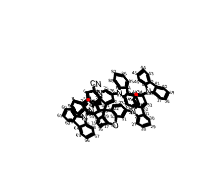 N#Cc1ccc2c(c1)c1ccccc1n2-c1cccc2c1C1(c3ccc(-n4c5ccccc5c5cc(-n6c7ccccc7c7ccccc76)ccc54)cc3O2)c2cc(-n3c4ccccc4c4ccccc43)cnc2-c2ncc(-n3c4ccccc4c4ccccc43)cc21